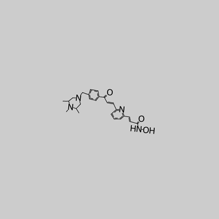 CC1CN(Cc2ccc(C(=O)C=Cc3cccc(C=CC(=O)NO)n3)cc2)CC(C)N1C